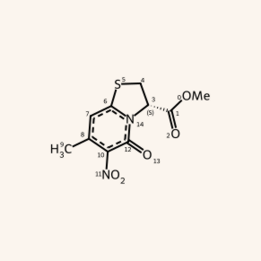 COC(=O)[C@H]1CSc2cc(C)c([N+](=O)[O-])c(=O)n21